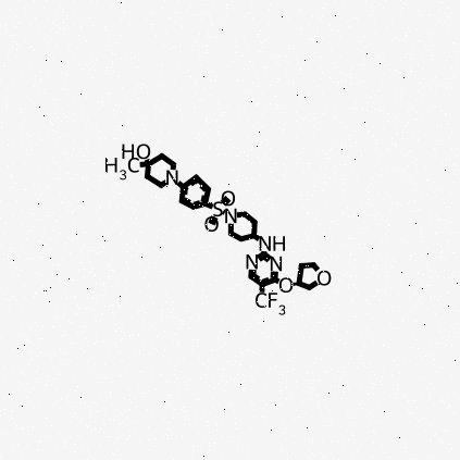 CC1(O)CCN(c2ccc(S(=O)(=O)N3CCC(Nc4ncc(C(F)(F)F)c(O[C@H]5CCOC5)n4)CC3)cc2)CC1